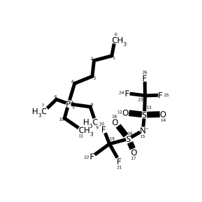 CCCCC[P+](CC)(CC)CC.O=S(=O)([N-]S(=O)(=O)C(F)(F)F)C(F)(F)F